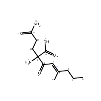 CCC/C(C)=C/C(=O)C(N)(CCC(N)=O)C(=O)O